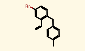 C=Cc1cc(Br)ccc1Cc1ccc(C)cc1